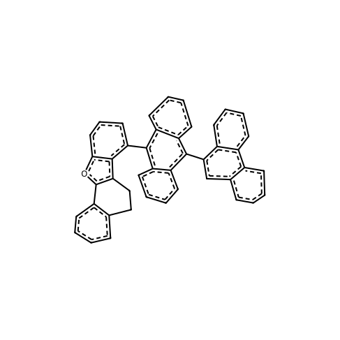 c1ccc2c(c1)CCc1c-2oc2cccc(-c3c4ccccc4c(-c4cc5ccccc5c5ccccc45)c4ccccc34)c12